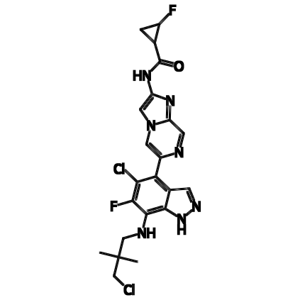 CC(C)(CCl)CNc1c(F)c(Cl)c(-c2cn3cc(NC(=O)C4CC4F)nc3cn2)c2cn[nH]c12